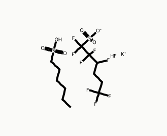 CCCCCCS(=O)(=O)O.F.O=S(=O)([O-])C(F)(F)C(F)(F)C(F)CCC(F)(F)F.[K+]